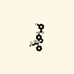 CNC[C@H](O)[C@H](c1ccccc1)N1CCc2cc(NC(=O)c3cccc(Cl)c3)ccc21